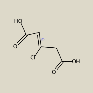 O=C(O)/C=C(\Cl)CC(=O)O